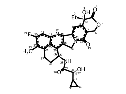 CC[C@@]1(O)C(=O)OCc2c1cc1n(c2=O)Cc2c-1nc1cc(F)c(C)c3c1c2[C@@H](NC(=O)[C@H](O)C1CC1)CC3